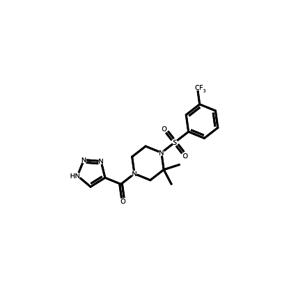 CC1(C)CN(C(=O)c2c[nH]nn2)CCN1S(=O)(=O)c1cccc(C(F)(F)F)c1